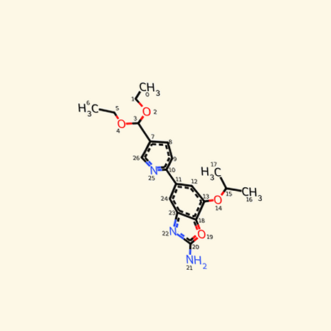 CCOC(OCC)c1ccc(-c2cc(OC(C)C)c3oc(N)nc3c2)nc1